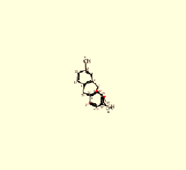 N#Cc1ccc2c(c1)C1c3cc(C#N)ccc3C2c2ccc(C#N)cc21